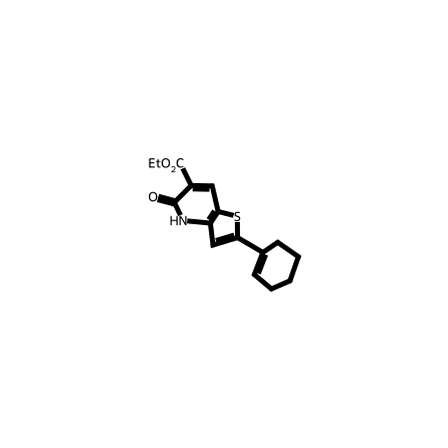 CCOC(=O)c1cc2sc(C3=CCCCC3)cc2[nH]c1=O